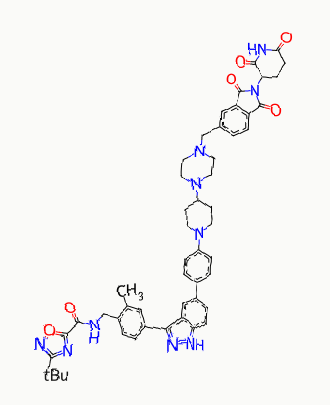 Cc1cc(-c2n[nH]c3ccc(-c4ccc(N5CCC(N6CCN(Cc7ccc8c(c7)C(=O)N(C7CCC(=O)NC7=O)C8=O)CC6)CC5)cc4)cc23)ccc1CNC(=O)c1nc(C(C)(C)C)no1